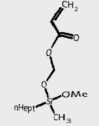 C=CC(=O)OCO[Si](C)(CCCCCCC)OC